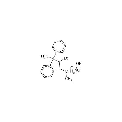 CCC(CN(C)C)C(C)(c1ccccc1)c1ccccc1.O=NO